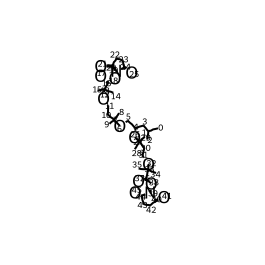 CC(C)CC(COC(C)(C)CCOC(C)(C)C(=O)ON1C(=O)CCC1=O)OC(C)(C)CCOC(C)(C)C(=O)ON1C(=O)CCC1=O